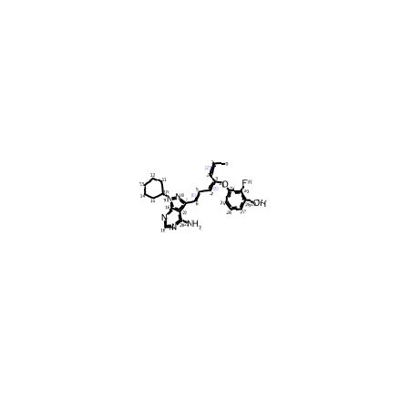 C\C=C/C(=C\C=C\c1nn(C2CCCCC2)c2ncnc(N)c12)Oc1cccc(O)c1F